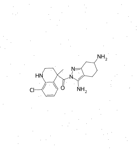 CC1(C(=O)n2nc3c(c2N)CCC(N)C3)CCNc2c(Cl)cccc21